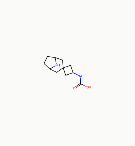 O=C(O)NC1CC2(C1)CC1CCC(C2)N1